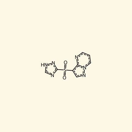 O=S(=O)(c1nc[nH]n1)c1cnn2cccnc12